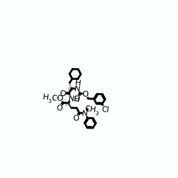 COC(=O)[C@H](CCC(=O)N(C)c1ccccc1)NC(=O)[C@H](CC1CCCCC1)NC(=O)OCc1cccc(Cl)c1